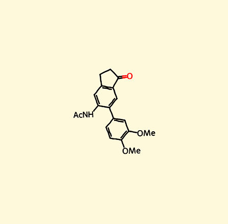 COc1ccc(-c2cc3c(cc2NC(C)=O)CCC3=O)cc1OC